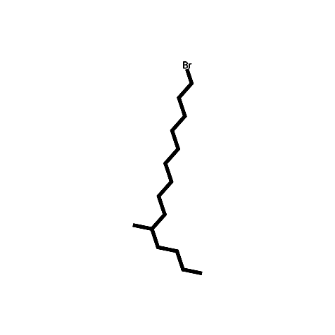 CCCCC(C)CCCCCCCCCBr